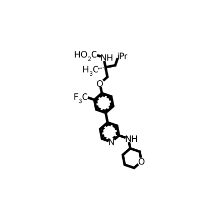 CC(C)C[C@@](C)(COc1ccc(-c2ccnc(NC3CCCOC3)c2)cc1C(F)(F)F)NC(=O)O